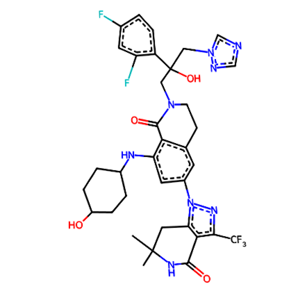 CC1(C)Cc2c(c(C(F)(F)F)nn2-c2cc3c(c(NC4CCC(O)CC4)c2)C(=O)N(CC(O)(Cn2cncn2)c2ccc(F)cc2F)CC3)C(=O)N1